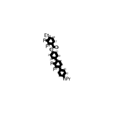 CCCc1ccc(-c2ccc(-c3ccc(OC(=O)c4ccc(CC)c(F)c4F)cc3)c(F)c2F)cc1